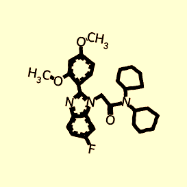 COc1ccc(-c2nc3ccc(F)cc3n2CC(=O)N(C2CCCCC2)C2CCCCC2)c(OC)c1